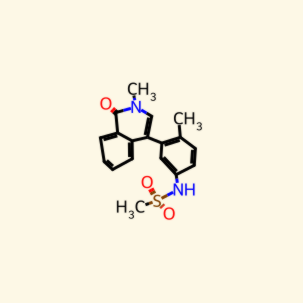 Cc1ccc(NS(C)(=O)=O)cc1-c1cn(C)c(=O)c2ccccc12